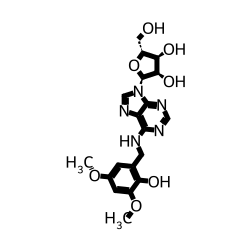 COc1cc(CNc2ncnc3c2ncn3[C@@H]2O[C@H](CO)[C@@H](O)[C@H]2O)c(O)c(OC)c1